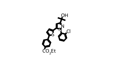 CCOC(=O)c1ccc(-c2ccc(-c3cc(C(C)(C)O)nn3-c3ccccc3Cl)s2)cc1